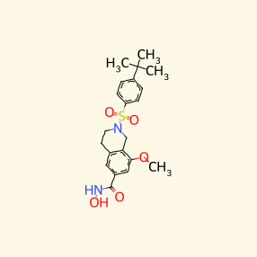 COc1cc(C(=O)NO)cc2c1CN(S(=O)(=O)c1ccc(C(C)(C)C)cc1)CC2